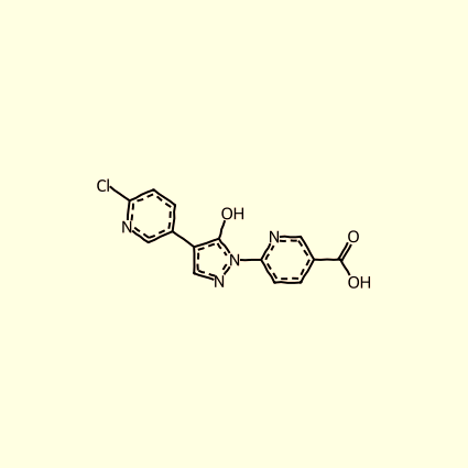 O=C(O)c1ccc(-n2ncc(-c3ccc(Cl)nc3)c2O)nc1